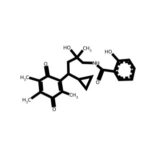 CC1=C(C)C(=O)C(C(CC(C)(O)CNC(=O)c2ccccc2O)C2CC2)=C(C)C1=O